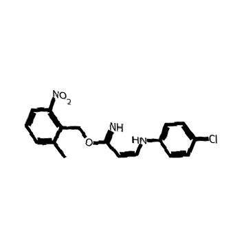 Cc1cccc([N+](=O)[O-])c1COC(=N)/C=C\Nc1ccc(Cl)cc1